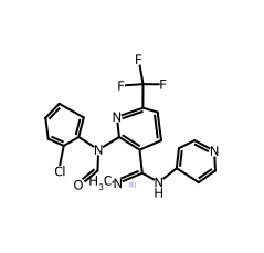 C/N=C(/Nc1ccncc1)c1ccc(C(F)(F)F)nc1N(C=O)c1ccccc1Cl